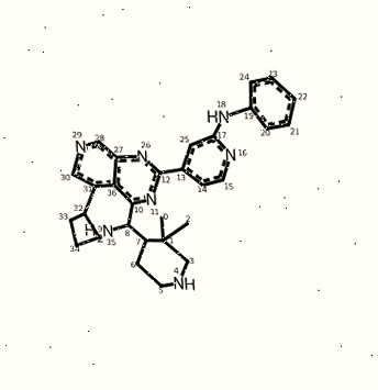 CC1(C)CNCCC1C(N)c1nc(-c2ccnc(Nc3ccccc3)c2)nc2cncc(C3CCC3)c12